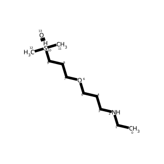 CCNCCCOCCC[SH](C)(C)=O